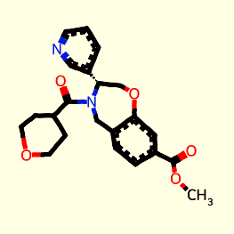 COC(=O)c1ccc2c(c1)OC[C@@H](c1cccnc1)N(C(=O)C1CCOCC1)C2